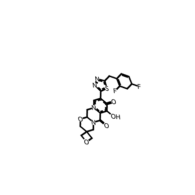 O=C1c2c(O)c(=O)c(-c3nnc(CC4=C(F)CC(F)C=C4)s3)cn2CC2OCC3(COC3)CN12